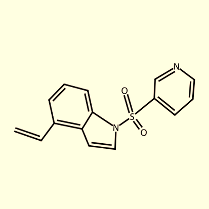 C=Cc1cccc2c1ccn2S(=O)(=O)c1cccnc1